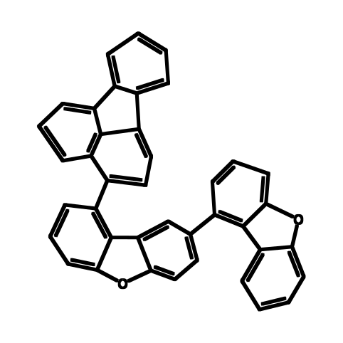 c1ccc2c(c1)-c1cccc3c(-c4cccc5oc6ccc(-c7cccc8oc9ccccc9c78)cc6c45)ccc-2c13